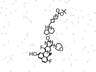 C#Cc1c(F)ccc2cc(O)cc(-c3ncc4c(N5CCCOCC5)nc(OC[C@]56CCC[C@H]5N(CC5CC7(C5)CN(C(=O)OC(C)(C)C)C7)CCC6)nc4c3F)c12